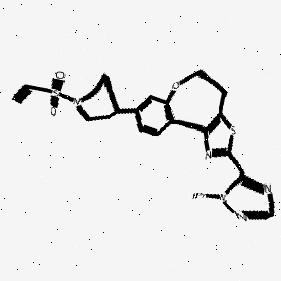 C=CS(=O)(=O)N1CC(c2ccc3c(c2)OCCc2sc(-c4ncnn4C(C)C)nc2-3)C1